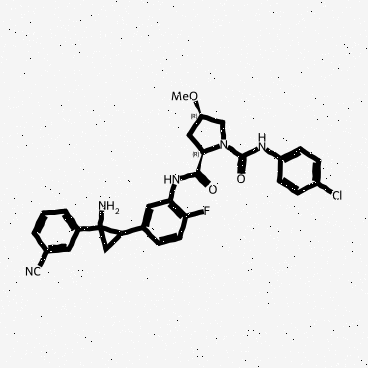 CO[C@@H]1C[C@H](C(=O)Nc2cc(C3CC3(N)c3cccc(C#N)c3)ccc2F)N(C(=O)Nc2ccc(Cl)cc2)C1